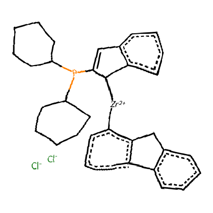 C1=C(P(C2CCCCC2)C2CCCCC2)[CH]([Zr+2][c]2cccc3c2Cc2ccccc2-3)c2ccccc21.[Cl-].[Cl-]